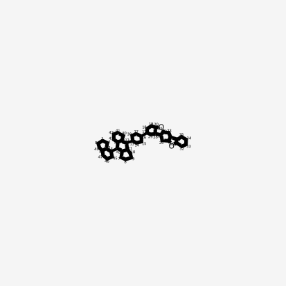 c1ccc2c(-c3c4ccccc4c(-c4ccc(-c5ccc6oc7cc8c(cc7c6c5)oc5ccccc58)cc4)c4ccccc34)cccc2c1